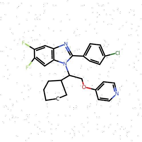 Fc1cc2nc(-c3ccc(Cl)cc3)n(C(COc3ccncc3)C3CCCCC3)c2cc1F